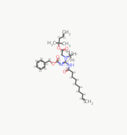 [2H]C([2H])([2H])N(CC(=O)OC(C)(C)CC=C)/C(=N\C(=O)OCc1ccccc1)NC(=O)CCCCCCCC=C